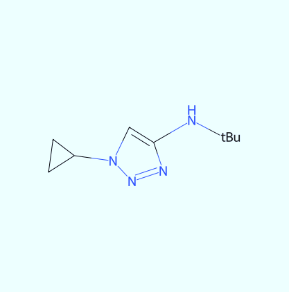 CC(C)(C)Nc1cn(C2CC2)nn1